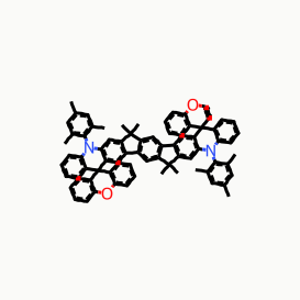 Cc1cc(C)c(N2c3ccccc3C3(c4ccccc4Oc4ccccc43)c3cc4c(cc32)C(C)(C)c2cc3c(cc2-4)C(C)(C)c2cc4c(cc2-3)C2(c3ccccc3Oc3ccccc32)c2ccccc2N4c2c(C)cc(C)cc2C)c(C)c1